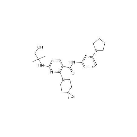 CC(C)(CO)Nc1ccc(C(=O)Nc2cccc(N3CCCC3)c2)c(N2CCC3(CC2)CC3)n1